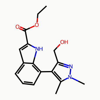 CCOC(=O)c1cc2cccc(-c3c(CO)nn(C)c3C)c2[nH]1